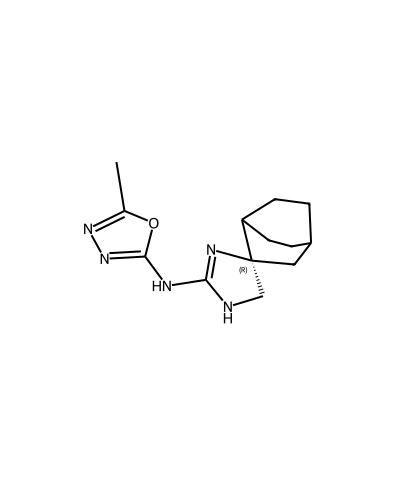 Cc1nnc(NC2=N[C@]3(CN2)CC2CCC3CC2)o1